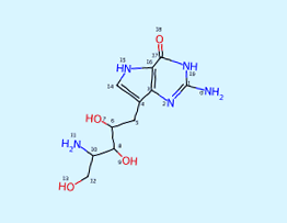 Nc1nc2c(CC(O)C(O)C(N)CO)c[nH]c2c(=O)[nH]1